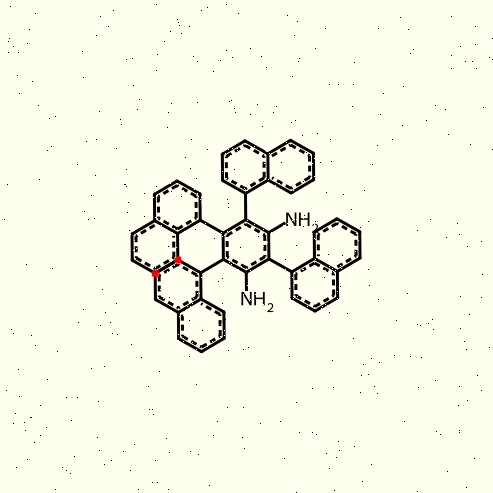 Nc1c(-c2cccc3ccccc23)c(N)c(-c2cccc3ccccc23)c(-c2cccc3ccccc23)c1-c1cccc2ccccc12